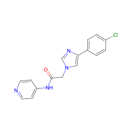 O=C(Cn1cnc(-c2ccc(Cl)cc2)c1)Nc1ccncc1